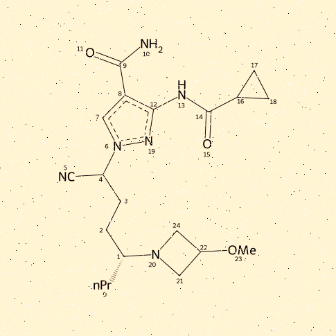 CCC[C@H](CCC(C#N)n1cc(C(N)=O)c(NC(=O)C2CC2)n1)N1CC(OC)C1